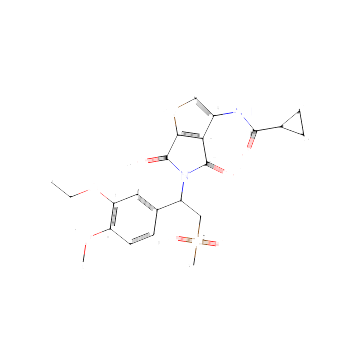 CCOc1cc(C(CS(C)(=O)=O)N2C(=O)c3scc(NC(=O)C4CC4)c3C2=O)ccc1OC